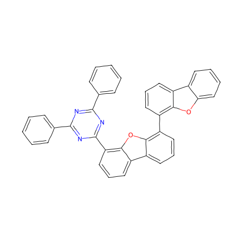 c1ccc(-c2nc(-c3ccccc3)nc(-c3cccc4c3oc3c(-c5cccc6c5oc5ccccc56)cccc34)n2)cc1